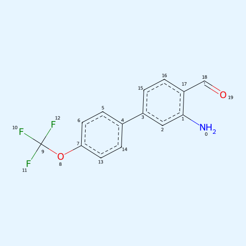 Nc1cc(-c2ccc(OC(F)(F)F)cc2)ccc1[C]=O